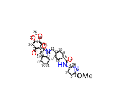 COc1ccc(NC(=O)c2ccc(CN3C(=O)C4(COc5cc6c(cc54)OCO6)c4ccccc43)cc2)cn1